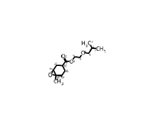 CC(C)COCCOC(=O)C1CCC2(C)OC2C1